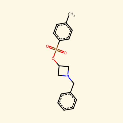 Cc1ccc(S(=O)(=O)OC2CN(Cc3ccccc3)C2)cc1